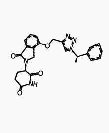 C[C@H](c1ccccc1)n1cc(COc2cccc3c2CN(C2CCC(=O)NC2=O)C3=O)nn1